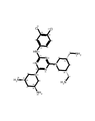 NC[C@@H]1C[C@H](CN)CN(c2nc(Nc3ccc(Cl)c(Cl)c3)nc(N3C[C@H](N)C[C@H](N)C3)n2)C1